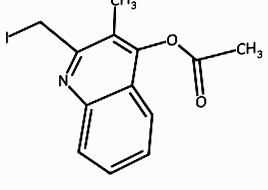 CC(=O)Oc1c(C)c(CI)nc2ccccc12